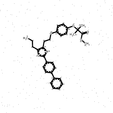 CCCc1oc(-c2ccc(-c3ccccc3)cc2)nc1CCOc1ccc(OC(C)(C)C(=O)OC)cc1